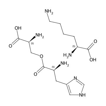 NCCCC[C@H](N)C(=O)O.N[C@@H](COC(=O)[C@@H](N)Cc1c[nH]cn1)C(=O)O